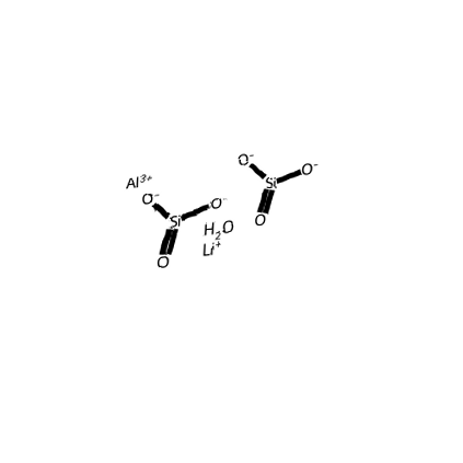 O.O=[Si]([O-])[O-].O=[Si]([O-])[O-].[Al+3].[Li+]